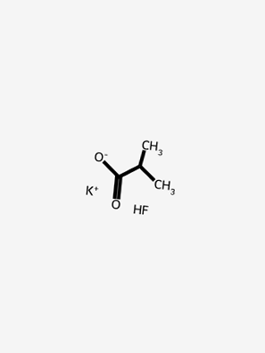 CC(C)C(=O)[O-].F.[K+]